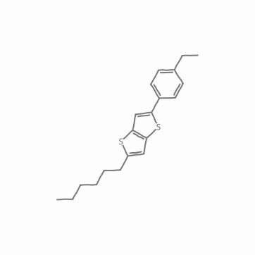 CCCCCCc1cc2sc(-c3ccc(CC)cc3)cc2s1